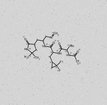 C=NCC(CC1CC(C)(C)NC1=O)NC(=O)C(CC1CC1(F)F)NC(=O)C(NC(=O)C(F)(F)F)C(C)(C)C